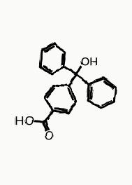 O=C(O)c1ccc(C(O)(c2ccccc2)c2ccccc2)cc1